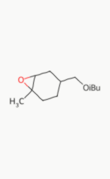 CC(C)COCC1CCC2(C)OC2C1